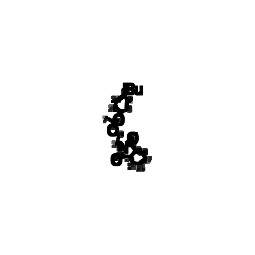 CCC(C)c1ccc(OC(C)OCCN2C(=O)c3ccccc3C2=O)cc1